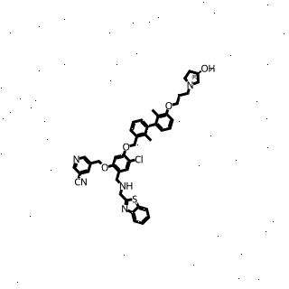 Cc1c(COc2cc(OCc3cncc(C#N)c3)c(CNCc3nc4ccccc4s3)cc2Cl)cccc1-c1cccc(OCCCN2CC[C@@H](O)C2)c1C